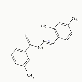 Cc1cccc(C(=O)N/N=C/c2ccc(C)cc2O)c1